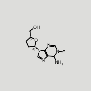 NC1c2ncn([C@H]3CC[C@@H](CO)O3)c2N=CN1F